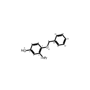 CCCc1cc(O)ccc1OCc1ccccc1